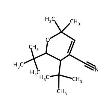 CC1(C)C=C(C#N)C(C(C)(C)C)C(C(C)(C)C)O1